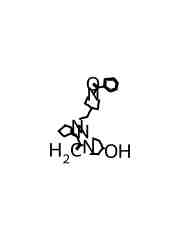 C=C(c1nn(CCC2CCN(C(=O)c3ccccc3)CC2)c2c1CCC2)N1CCC(O)CC1